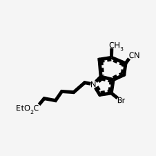 CCOC(=O)CCCCCn1cc(Br)c2cc(C#N)c(C)cc21